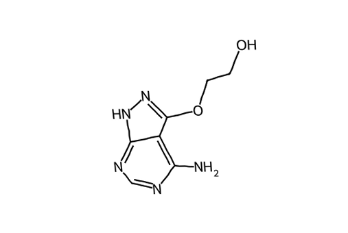 Nc1ncnc2[nH]nc(OCCO)c12